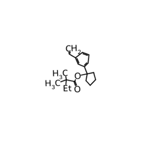 C=Cc1cccc(C2(OC(=O)C(C)(C)CC)CCCC2)c1